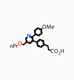 CCCOCc1cnc(-c2ccc(OC)cc2)c(-c2ccc(CCC(=O)O)cc2)c1